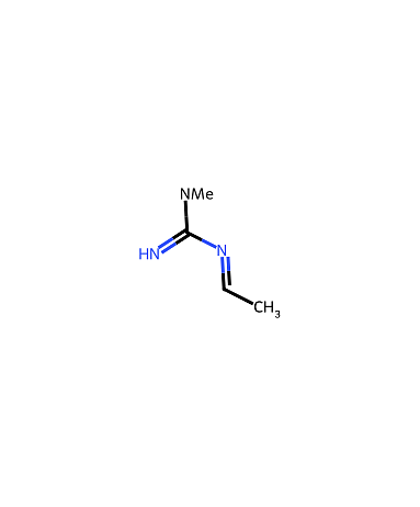 C/C=N/C(=N)NC